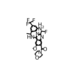 COc1cc2c(NC(C)c3cc(N)cc(C(F)(F)F)c3)nc(CF)nc2cc1C(=O)N1CCOCC1